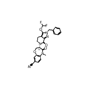 CN1C(=O)[C@@H](N2CCc3c(nn(Cc4ccccc4)c3OC(F)F)C2=O)COc2cc(C#N)ccc21